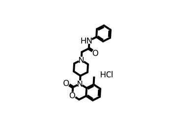 Cc1cccc2c1N(C1CCN(CC(=O)Nc3ccccc3)CC1)C(=O)OC2.Cl